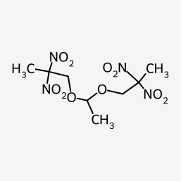 CC(OCC(C)([N+](=O)[O-])[N+](=O)[O-])OCC(C)([N+](=O)[O-])[N+](=O)[O-]